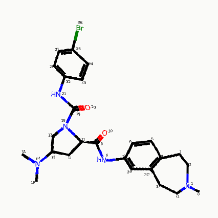 CN1CCc2ccc(NC(=O)[C@H]3CC(N(C)C)CN3C(=O)Nc3ccc(Br)cc3)cc2CC1